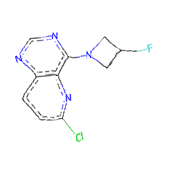 FC1CN(c2ncnc3ccc(Cl)nc23)C1